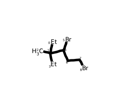 CCC(C)(CC)C(Br)CCBr